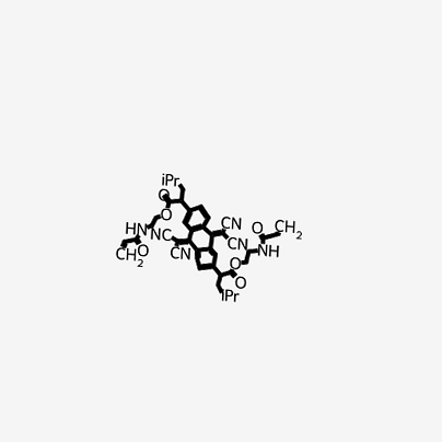 C=CC(=O)NCCOC(=O)C(CC(C)C)c1ccc2c(=C(C#N)C#N)c3cc(C(CC(C)C)C(=O)OCCNC(=O)C=C)ccc3c(=C(C#N)C#N)c2c1